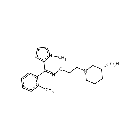 Cc1ccccc1C(=NOCCN1CCC[C@@H](C(=O)O)C1)c1cccn1C